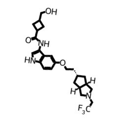 O=C(Nc1c[nH]c2ccc(OCC[C@@H]3C[C@@H]4CN(CC(F)(F)F)C[C@@H]4C3)cc12)C1CC(CO)C1